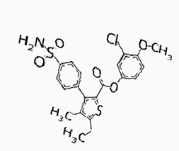 CCc1sc(C(=O)Oc2ccc(OC)c(Cl)c2)c(-c2ccc(S(N)(=O)=O)cc2)c1C